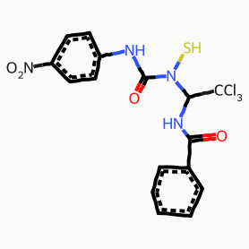 O=C(NC(N(S)C(=O)Nc1ccc([N+](=O)[O-])cc1)C(Cl)(Cl)Cl)c1ccccc1